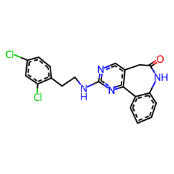 O=C1Cc2cnc(NCCc3ccc(Cl)cc3Cl)nc2-c2ccccc2N1